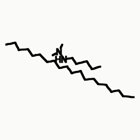 CCCCCCCCCCCCCCCCCCCC.CCCCCNN(C)C